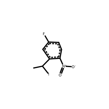 CC(I)c1cc(F)ccc1[N+](=O)[O-]